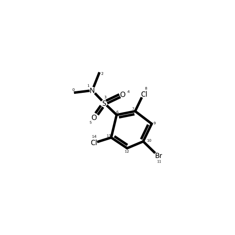 CN(C)S(=O)(=O)c1c(Cl)cc(Br)cc1Cl